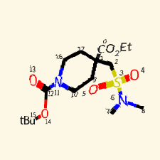 CCOC(=O)C1(CS(=O)(=O)N(C)C)CCN(C(=O)OC(C)(C)C)CC1